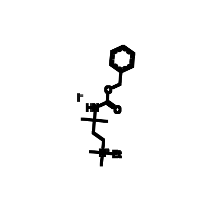 CC[N+](C)(C)CCC(C)(C)NC(=O)OCc1ccccc1.[I-]